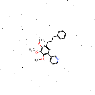 COc1c(CCCc2ccccc2)[c]c(-c2cccnc2)c(OC)c1OC